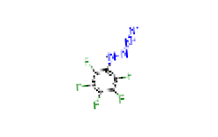 [N-]=[N+]=N[N]c1c(F)c(F)c(F)c(F)c1F